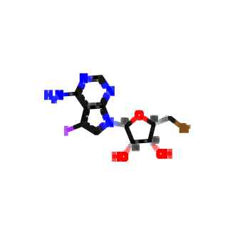 Nc1ncnc2c1c(I)cn2[C@@H]1O[C@H](CBr)[C@H](O)[C@@H]1O